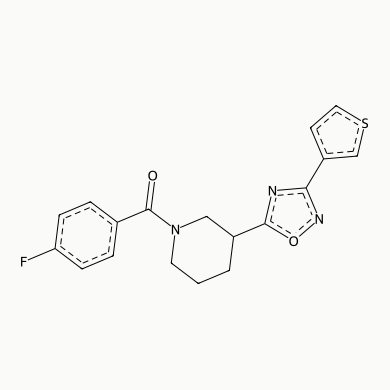 O=C(c1ccc(F)cc1)N1CCCC(c2nc(-c3ccsc3)no2)C1